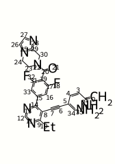 C=C(N)/C=C\C(C#Cc1c(CC)ncnc1-c1cc(F)c(C(=O)N2CCn3ccnc3C2)c(F)c1)=C/N